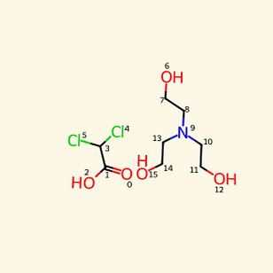 O=C(O)C(Cl)Cl.OCCN(CCO)CCO